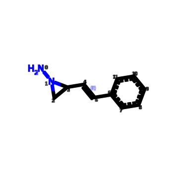 NN1CC1/C=C/c1ccccc1